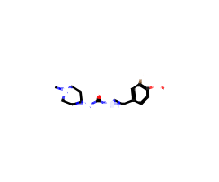 COc1ccc(CCNC(=O)NC2CCN(C)CC2)cc1Br